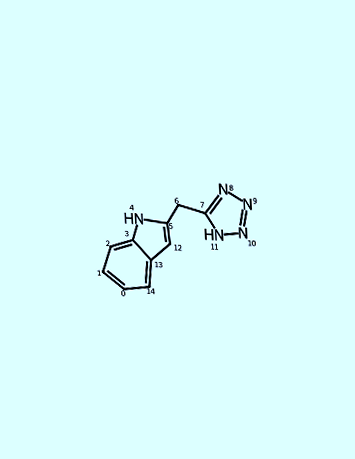 c1ccc2[nH]c(Cc3nnn[nH]3)cc2c1